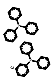 [Ru].c1ccc(P(c2ccccc2)c2ccccc2)cc1.c1ccc(P(c2ccccc2)c2ccccc2)cc1